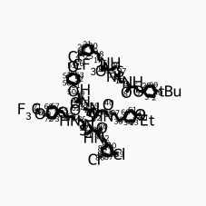 CC(C)(C)c1ccc(OCC(=O)NCc2nc(C(=O)NCCc3cccc(Cl)c3)cs2)cc1.CCOc1ccc(CCNC(=O)c2csc(CNC(=O)COc3ccc(OC(F)(F)F)cc3)n2)cc1.O=C(COc1ccc(OC(F)(F)F)cc1)NCc1nc(C(=O)NCc2cc(Cl)cc(Cl)c2)cs1